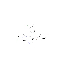 COc1ccc(S(=O)(=O)C2=C(CO)Nc3cc(C(F)(F)F)nn3C2c2ccc(Cl)c(Cl)c2)cc1